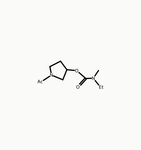 [CH2]CN(C)C(=O)OC1CCN(C(C)=O)C1